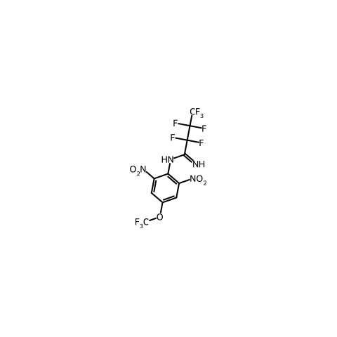 N=C(Nc1c([N+](=O)[O-])cc(OC(F)(F)F)cc1[N+](=O)[O-])C(F)(F)C(F)(F)C(F)(F)F